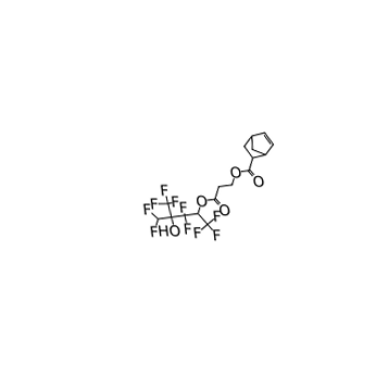 O=C(CCOC(=O)C1CC2C=CC1C2)OC(C(F)(F)F)C(F)(F)C(O)(C(F)F)C(F)(F)F